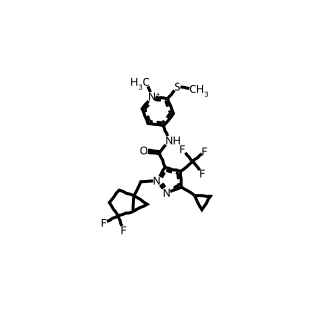 CSc1cc(NC(=O)c2c(C(F)(F)F)c(C3CC3)nn2CC23CCC(F)(F)C2C3)cc[n+]1C